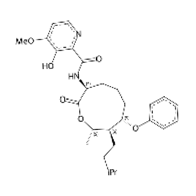 COc1ccnc(C(=O)N[C@H]2CCC[C@H](Oc3ccccc3)[C@@H](CCC(C)C)[C@H](C)OC2=O)c1O